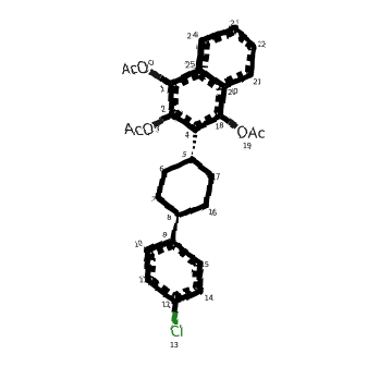 CC(=O)Oc1c(OC(C)=O)c([C@H]2CC[C@H](c3ccc(Cl)cc3)CC2)c(OC(C)=O)c2ccccc12